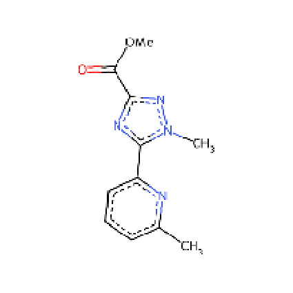 COC(=O)c1nc(-c2cccc(C)n2)n(C)n1